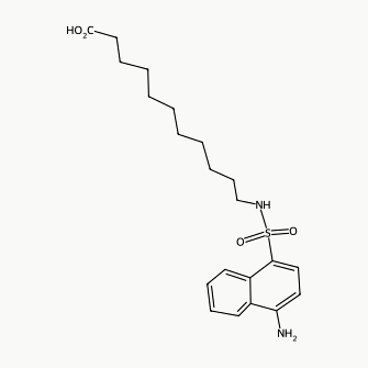 Nc1ccc(S(=O)(=O)NCCCCCCCCCCC(=O)O)c2ccccc12